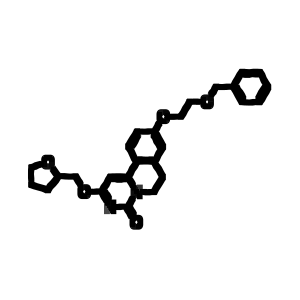 O=c1nc(OCC2CCCO2)cc2n1CCc1cc(OCCOCc3ccccc3)ccc1-2